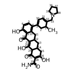 CC1CC(c2ccc(O)c3c2CC2CC4CC(O)=C(C(N)=O)C(=O)C4C(O)=C2C3=O)=CC=C1CN1CCCC1